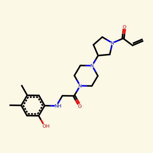 C=CC(=O)N1CCC(N2CCN(C(=O)CNc3cc(C)c(C)cc3O)CC2)C1